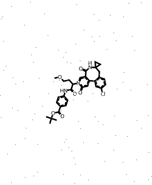 COCCC(C(=O)Nc1ccc(C(=O)OC(C)(C)C)cc1)n1cc2c(cc1=O)-c1cc(Cl)ccc1CC1(CC1)NC2=O